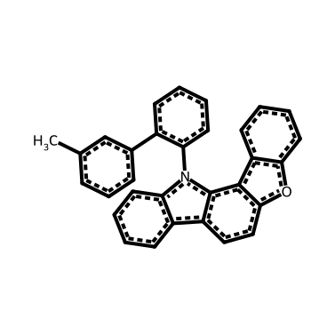 Cc1cccc(-c2ccccc2-n2c3ccccc3c3ccc4oc5ccccc5c4c32)c1